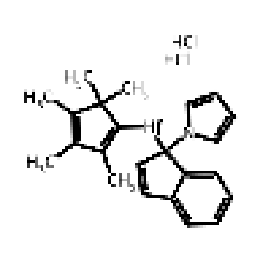 CC1=C(C)C(C)(C)[C]([Hf][C]2(n3cccc3)C=Cc3ccccc32)=C1C.Cl.Cl